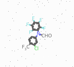 O=CN(c1ccc(C(F)(F)F)c(Cl)c1)c1c(F)c(F)c(F)c(F)c1F